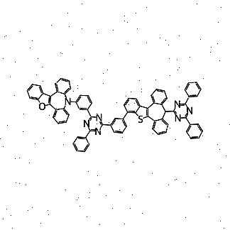 c1ccc(-c2nc(-c3cccc(-c4cccc5c6c(sc45)-c4ccccc4C(c4nc(-c5ccccc5)nc(-c5ccccc5)n4)c4ccccc4-6)c3)nc(-c3cccc(N4c5ccccc5-c5oc6ccccc6c5-c5ccccc54)c3)n2)cc1